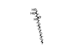 C=CCOCCOCCOCCOCCNC(=O)CCC(O)CO